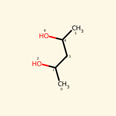 CC(O)[CH]C(C)O